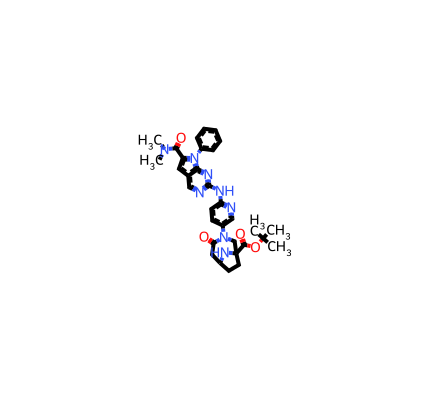 CN(C)C(=O)c1cc2cnc(Nc3ccc(N4CC5(C(=O)OC(C)(C)C)CCC(CC4=O)N5)cn3)nc2n1-c1ccccc1